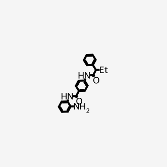 CCC(C(=O)Nc1ccc(C(=O)Nc2ccccc2N)cc1)c1ccccc1